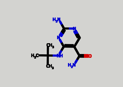 CC(C)(C)Nc1nc(N)ncc1C(N)=O